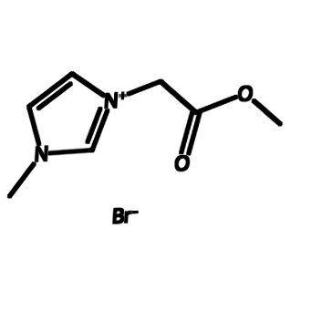 COC(=O)C[n+]1ccn(C)c1.[Br-]